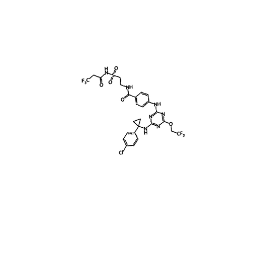 O=C(CC(F)(F)F)NS(=O)(=O)CCNC(=O)c1ccc(Nc2nc(NC3(c4ccc(Cl)cc4)CC3)nc(OCC(F)(F)F)n2)cc1